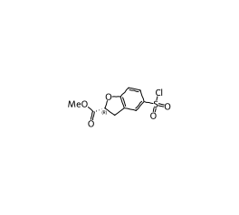 COC(=O)[C@H]1Cc2cc(S(=O)(=O)Cl)ccc2O1